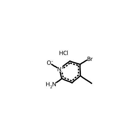 Cc1cc(N)[n+]([O-])cc1Br.Cl